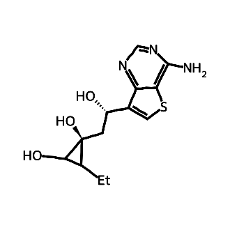 CCC1C(O)[C@]1(O)C[C@H](O)c1csc2c(N)ncnc12